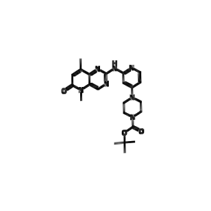 Cc1cc(=O)n(C)c2cnc(Nc3cc(N4CCN(C(=O)OC(C)(C)C)CC4)ccn3)nc12